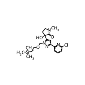 CN1CCC(O)(c2cc(-c3cccc(Cl)n3)nn2COCC[Si](C)(C)C)C1=O